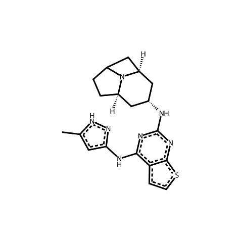 Cc1cc(Nc2nc(N[C@@H]3C[C@H]4CCC5C[C@@H](C3)N54)nc3sccc23)n[nH]1